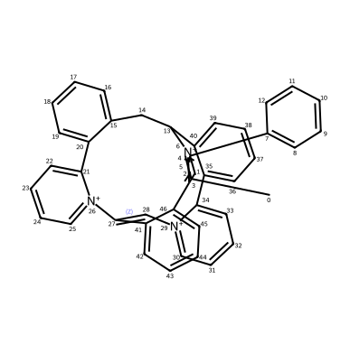 Cc1cc2[n+](cc1-c1ccccc1)C1Cc3ccccc3-c3cccc[n+]3/C(=C\[n+]3ccccc3-c3ccccc31)c1ccccc1-2